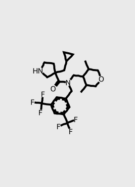 CC1COCC(C)C1CN(Cc1cc(C(F)(F)F)cc(C(F)(F)F)c1)C(=O)C1(CC2CC2)CCNC1